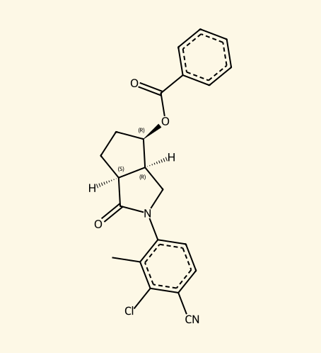 Cc1c(N2C[C@H]3[C@H](CC[C@H]3OC(=O)c3ccccc3)C2=O)ccc(C#N)c1Cl